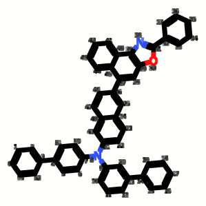 c1ccc(-c2ccc(N(c3cccc(-c4ccccc4)c3)c3ccc4cc(-c5cc6oc(-c7ccccc7)nc6c6ccccc56)ccc4c3)cc2)cc1